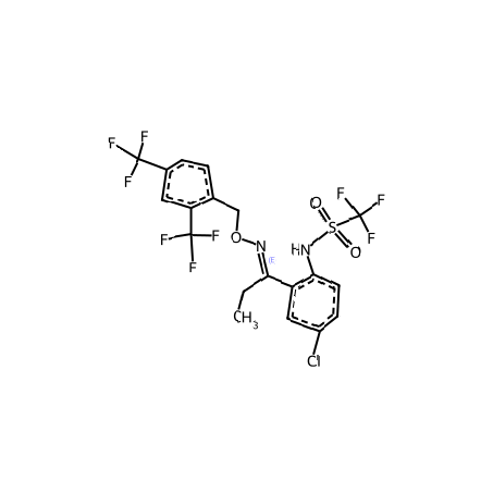 CC/C(=N\OCc1ccc(C(F)(F)F)cc1C(F)(F)F)c1cc(Cl)ccc1NS(=O)(=O)C(F)(F)F